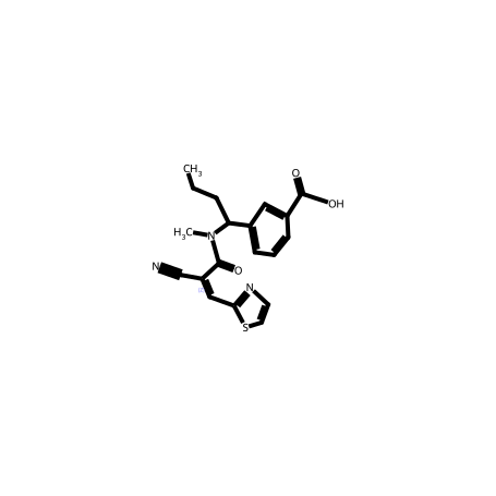 CCCC(c1cccc(C(=O)O)c1)N(C)C(=O)/C(C#N)=C\c1nccs1